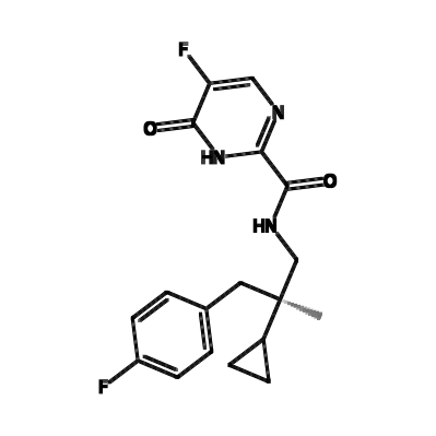 C[C@@](CNC(=O)c1ncc(F)c(=O)[nH]1)(Cc1ccc(F)cc1)C1CC1